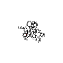 CC(C)(C)c1ccc(N2c3cc4c(cc3B3c5ccc(-c6ccccc6)cc5N(c5cccc(-c6ccccc6)c5)c5cc(N6c7ccccc7C7(C)CCCCCCC67C)cc2c53)CCC4)c(-c2ccccc2)c1